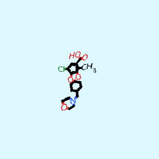 Cc1c(C(=O)O)cc(Cl)c2c1OC1(CCC(CN3CCOCC3)CC1)O2